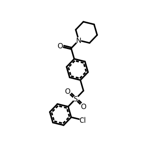 O=C(c1ccc(CS(=O)(=O)c2ccccc2Cl)cc1)N1CCCCC1